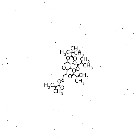 C=C(C)C(=O)OSCCC1OC[C@@H](OC(=O)C(C)(C)C)[C@@H](OC(=O)C(=C)C)[C@@H]1OC(=O)C(=C)C